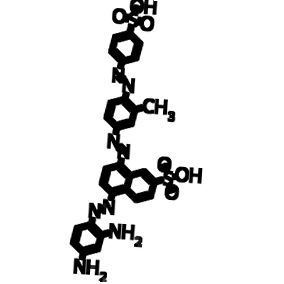 Cc1cc(N=Nc2ccc(N=Nc3ccc(N)cc3N)c3ccc(S(=O)(=O)O)cc23)ccc1N=Nc1ccc(S(=O)(=O)O)cc1